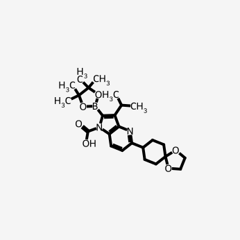 CC(C)c1c(B2OC(C)(C)C(C)(C)O2)n(C(=O)O)c2ccc(C3CCC4(CC3)OCCO4)nc12